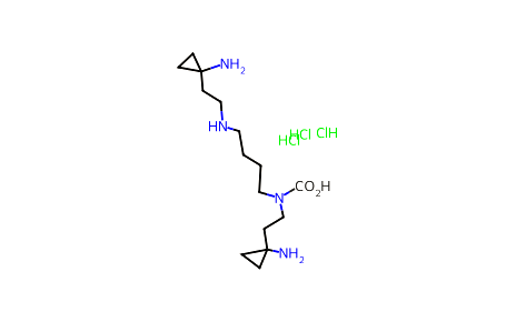 Cl.Cl.Cl.NC1(CCNCCCCN(CCC2(N)CC2)C(=O)O)CC1